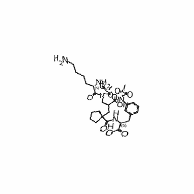 CS(=O)(=O)Nc1cccc(C[C@H](NC(=O)C2(CC(CN(C(=O)[C@@H](N)CCCCN)S(C)(=O)=O)C(=O)O)CCCC2)C(=O)O)c1